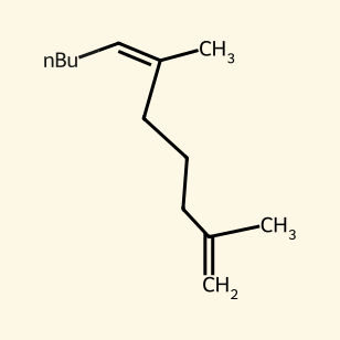 C=C(C)CCCC(C)=CCCCC